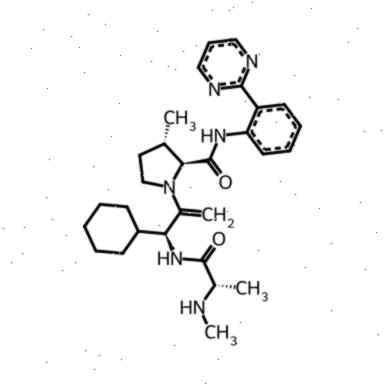 C=C([C@@H](NC(=O)[C@H](C)NC)C1CCCCC1)N1CC[C@H](C)[C@H]1C(=O)Nc1ccccc1-c1ncccn1